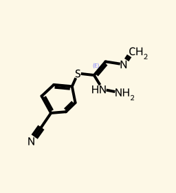 C=N/C=C(\NN)Sc1ccc(C#N)cc1